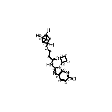 O=C(CCO[C@@H]1C[C@@H]2C3C1[C@@H]32)Nc1nc2ccc(Cl)nc2n1C1CCC1